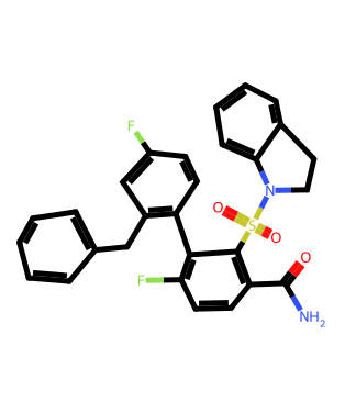 NC(=O)c1ccc(F)c(-c2ccc(F)cc2Cc2ccccc2)c1S(=O)(=O)N1CCc2ccccc21